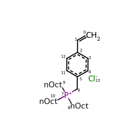 C=Cc1ccc(C[P+](CCCCCCCC)(CCCCCCCC)CCCCCCCC)cc1.[Cl-]